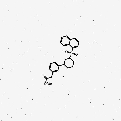 COC(=O)Cc1cccc(C2CCCN(S(=O)(=O)c3cccc4ccccc34)C2)c1